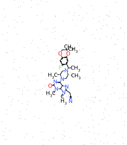 CC(c1cc2c(cc1F)OCC(C)(C)O2)N1C[C@H](C)N(C2=NC(=O)N(C)C3C2N=C(CC#N)N3C)C[C@H]1C